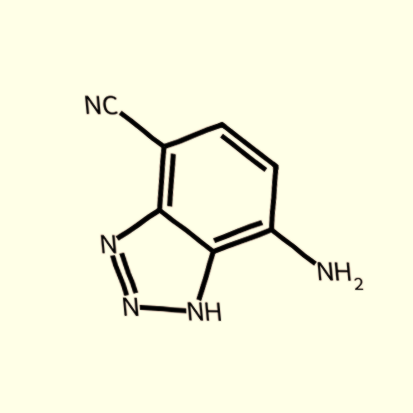 N#Cc1ccc(N)c2[nH]nnc12